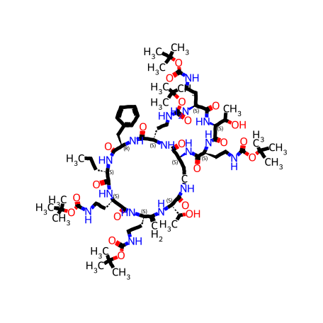 C=C1N[C@@H](C(C)O)C(=O)NCC[C@H](NC(=O)[C@H](CCNC(=O)OC(C)(C)C)NC(=O)[C@@H](NC(=O)[C@@H](N)CCNC(=O)OC(C)(C)C)C(C)O)C(=O)N[C@@H](CCNC(=O)OC(C)(C)C)C(=O)N[C@H](Cc2ccccc2)C(=O)N[C@@H](CCC)C(=O)N[C@@H](CCNC(=O)OC(C)(C)C)C(=O)N[C@H]1CCNC(=O)OC(C)(C)C